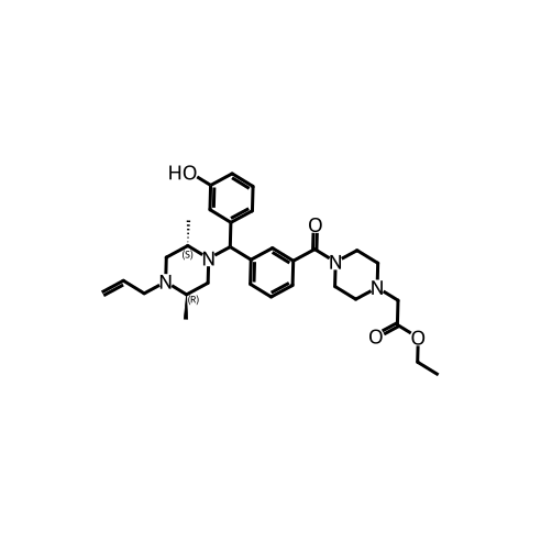 C=CCN1C[C@H](C)N(C(c2cccc(O)c2)c2cccc(C(=O)N3CCN(CC(=O)OCC)CC3)c2)C[C@H]1C